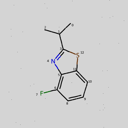 CC(C)c1nc2c(F)cccc2s1